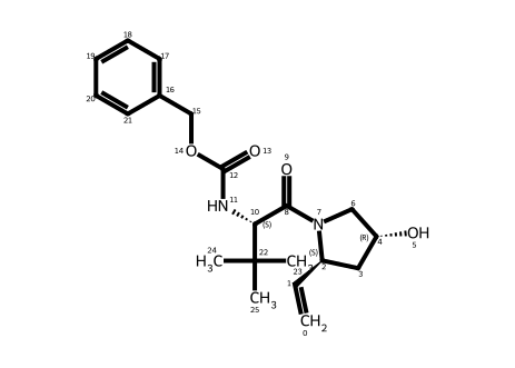 C=C[C@@H]1C[C@@H](O)CN1C(=O)[C@@H](NC(=O)OCc1ccccc1)C(C)(C)C